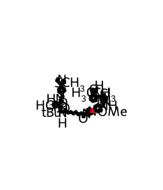 COc1cc(N2CCN(C(=O)CCCCCCC(=O)N[C@H](C(=O)N3C[C@H](O)C[C@H]3C(=O)NCc3ccc(-c4scnc4C)cc3)C(C)(C)C)CC2)ccc1Nc1ncc(Cl)c(Nc2ccccc2P(C)(C)=O)n1